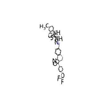 Cc1ccc(NC(=S)N/N=C/c2ccc3c(c2)CCc2c-3noc2-c2ccc(OC(F)F)cc2)c(C)c1